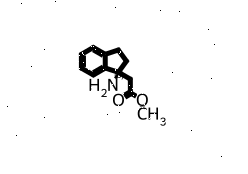 COC(=O)C[C@@]1(N)CCc2ccccc21